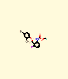 CCc1ccc(OCc2c(I)cccc2NC(=O)OCF)c(C)c1